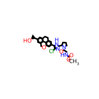 COC(=O)NCC(=O)N1CCCC1c1nc(Cl)c(-c2cc3c4c(c2)OCc2cc(C5=C(O)C5)cc(c2-4)CC3)[nH]1